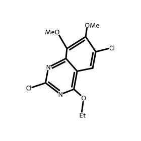 CCOc1nc(Cl)nc2c(OC)c(OC)c(Cl)cc12